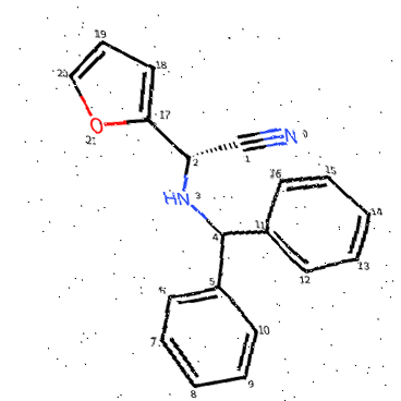 N#C[C@H](NC(c1ccccc1)c1ccccc1)c1ccco1